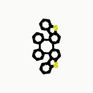 c1ccc2c(c1)-c1ccccc1-c1c(ccc3sc4ccccc4c13)-c1ccc3sc4ccccc4c3c1-2